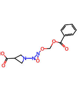 O=C(OCOn1on1N1CC(C(=O)O)C1)c1ccccc1